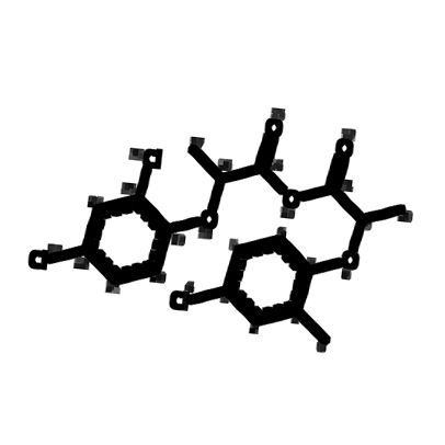 Cc1cc(Cl)ccc1OC(C)C(=O)OC(=O)C(C)Oc1ccc(Cl)cc1Cl